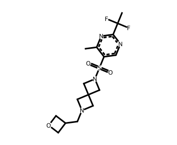 Cc1nc(C(C)(F)F)ncc1S(=O)(=O)N1CC2(CN(CC3COC3)C2)C1